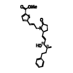 COC(=O)c1ccc(C=CCN2C(=O)CCC2C=C[C@@H](O)[C@@H](C)CCc2ccccc2)s1